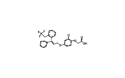 O=C(O)COc1ccc(SCC=C(c2ccccc2)c2ccccc2CC(F)(F)F)cc1Cl